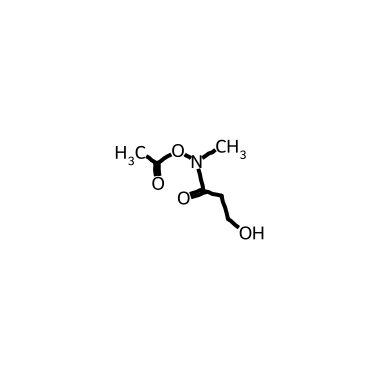 CC(=O)ON(C)C(=O)CCO